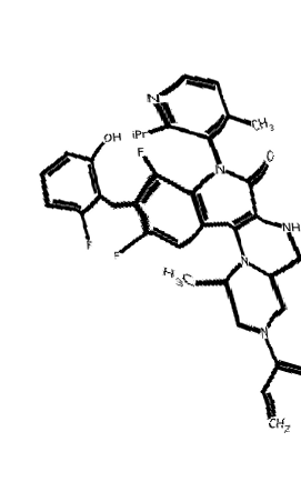 C=CC(=O)N1CC(C)N2c3c(c(=O)n(-c4c(C)ccnc4C(C)C)c4c(F)c(-c5c(O)cccc5F)c(F)cc34)NCC2C1